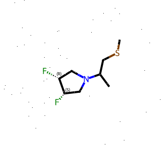 CSCC(C)N1C[C@@H](F)[C@@H](F)C1